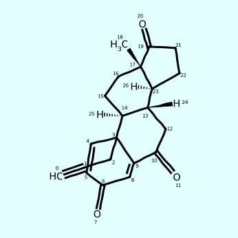 C#CCC12C=CC(=O)C=C1C(=O)C[C@@H]1[C@@H]2CC[C@]2(C)C(=O)CC[C@@H]12